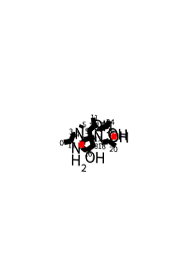 CC(N)CN(C)C(C)C(CC(C)O)(CC(C)O)N(CC(C)O)CC(C)O